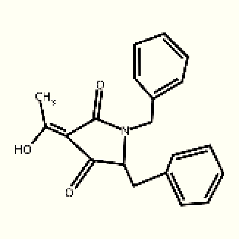 C/C(O)=C1/C(=O)C(Cc2ccccc2)N(Cc2ccccc2)C1=O